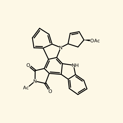 CC(=O)O[C@@H]1C=CC(n2c3ccccc3c3c4c(c5c6ccccc6[nH]c5c32)C(=O)N(C(C)=O)C4=O)C1